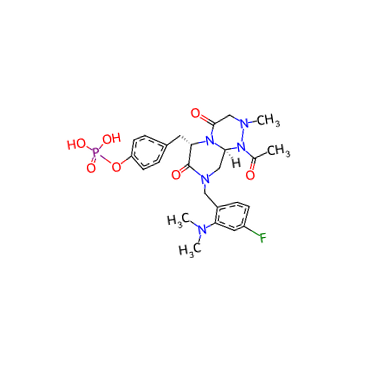 CC(=O)N1[C@H]2CN(Cc3ccc(F)cc3N(C)C)C(=O)[C@H](Cc3ccc(OP(=O)(O)O)cc3)N2C(=O)CN1C